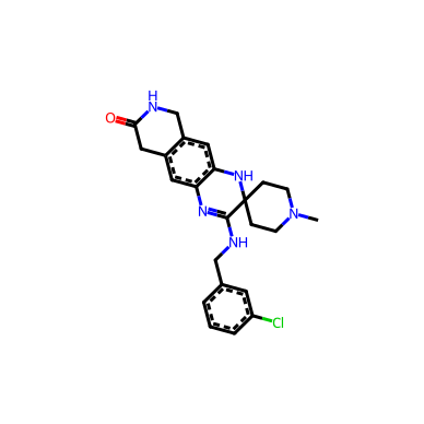 CN1CCC2(CC1)Nc1cc3c(cc1N=C2NCc1cccc(Cl)c1)CC(=O)NC3